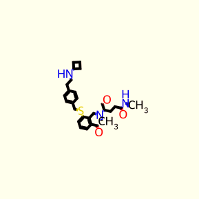 CNC(=O)CCC(C=O)N(C)Cc1c(C=O)cccc1SCc1ccc(CCNC2CCC2)cc1